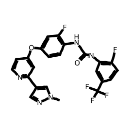 Cn1cc(-c2cc(Oc3ccc(NC(=O)Nc4cc(C(F)(F)F)ccc4F)c(F)c3)ccn2)cn1